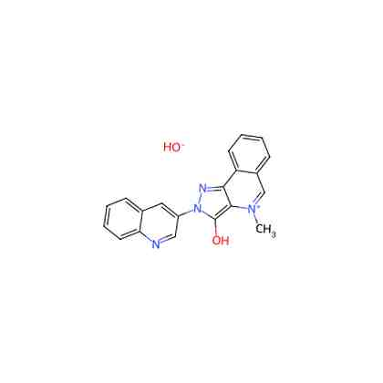 C[n+]1cc2ccccc2c2nn(-c3cnc4ccccc4c3)c(O)c21.[OH-]